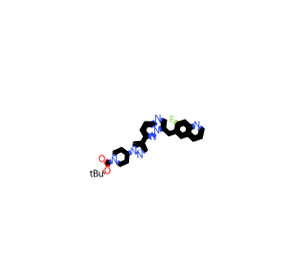 CC(C)(C)OC(=O)N1CCC(n2cc(-c3ccc4ncc(Cc5cc6cccnc6cc5F)n4n3)cn2)CC1